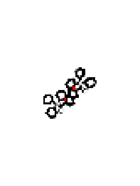 O=C(c1ccc2cc(C(=O)[N+](C3CCCCC3)(C3CCCCC3)C3CCCCC3)ccc2c1)[N+](C1CCCCC1)(C1CCCCC1)C1CCCCC1